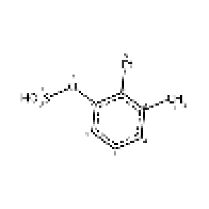 CCc1c(C)cccc1OS(=O)(=O)O